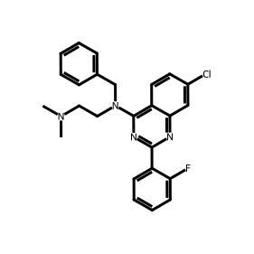 CN(C)CCN(Cc1ccccc1)c1nc(-c2ccccc2F)nc2cc(Cl)ccc12